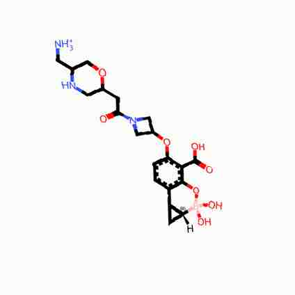 [NH3+]CC1COC(CC(=O)N2CC(Oc3ccc4c(c3C(=O)O)O[B-](O)(O)[C@@H]3CC43)C2)CN1